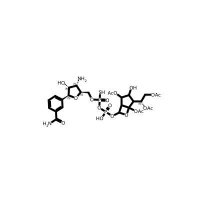 CC(=O)OC[C@H](OC(C)=O)C1C(O)C(OC(C)=O)C2C(OP(=O)(O)OP(=O)(S)OC[C@H]3O[C@@H](c4cccc(C(N)=O)c4)[C@H](O)[C@@H]3N)OC21OC(C)=O